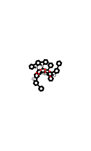 c1ccc(-c2ccc3oc4ccc(-c5nc(-c6ccc7oc8ccc(-c9ccccc9)cc8c7c6)nc(-n6c7ccccc7c7ccc8c9ccccc9n(-c9cccc(-c%10nc(-c%11ccccc%11)nc(-c%11ccccc%11)n%10)n9)c8c76)n5)cc4c3c2)cc1